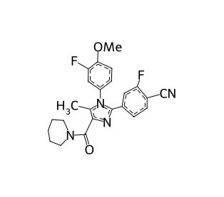 COc1ccc(-n2c(-c3ccc(C#N)c(F)c3)nc(C(=O)N3CCCCC3)c2C)cc1F